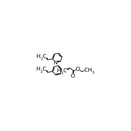 C=CC(=O)OCC.C=Cc1ccccc1.C=Cc1ccccn1